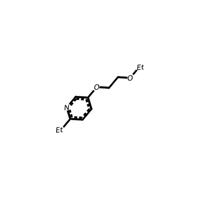 CCOCCOc1ccc(CC)nc1